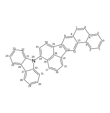 c1ccc2c(c1)ccc1cc3c(cc12)-c1cccc2c(-n4c5ccccc5c5ccccc54)ccc-3c12